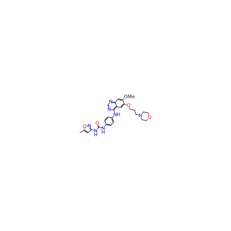 COc1cc2ncnc(Nc3ccc(NC(=O)Nc4cc(C)on4)cc3)c2cc1OCCCN1CCOCC1